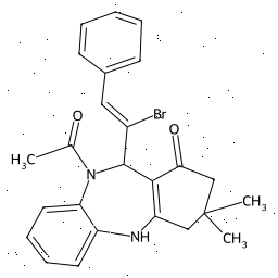 CC(=O)N1c2ccccc2NC2=C(C(=O)CC(C)(C)C2)C1/C(Br)=C/c1ccccc1